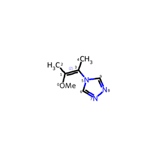 CO/C(C)=C(/C)n1cnnc1